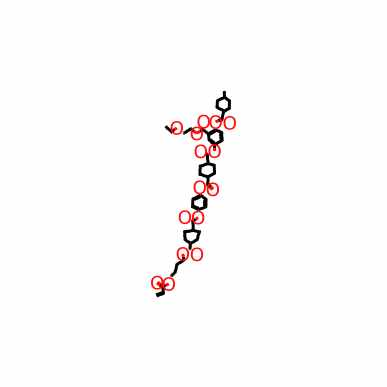 C=CC(=O)OCCCCOC(=O)C1CCC(C(=O)Oc2ccc(OC(=O)C3CCC(C(=O)Oc4ccc(OC(=O)C5CCC(C)CC5)c(C(=O)OCCOCC)c4)CC3)cc2)CC1